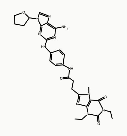 CCn1c(=O)c2c(nc(CCC(=O)Nc3ccc(Nc4nc(N)c5ncn(C6CCCO6)c5n4)cc3)n2C)n(CC)c1=O